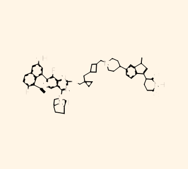 C#Cc1c(F)ccc2cc(O)cc(-c3ncc4c(N5CC6CCC(C5)N6)nc(OCC5(CC6CC(CN7CCC(c8ccc9c(c8)C(C)C=C9C8CCC(=O)NC8=O)CC7)C6)CC5)nc4c3F)c12